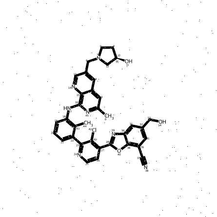 Cc1cc2cc(CN3CC[C@@H](O)C3)cnc2c(Nc2cccc(-c3nccc(-c4nc5cc(CO)cc(C#N)c5o4)c3Cl)c2C)n1